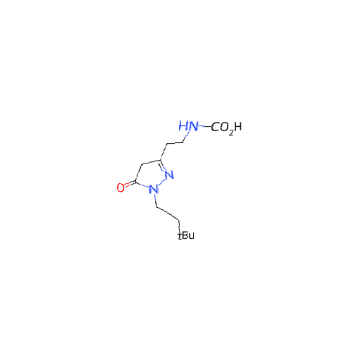 CC(C)(C)CCN1N=C(CCNC(=O)O)CC1=O